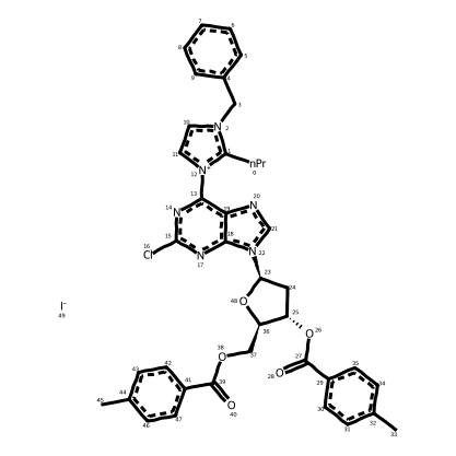 CCCc1n(Cc2ccccc2)cc[n+]1-c1nc(Cl)nc2c1ncn2[C@H]1C[C@H](OC(=O)c2ccc(C)cc2)[C@@H](COC(=O)c2ccc(C)cc2)O1.[I-]